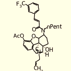 C=CCN1CC[C@]23c4c5ccc(OC(C)=O)c4OC2C(N(CCCCC)C(=O)/C=C/c2cccc(C(F)(F)F)c2)CC[C@@]3(O)[C@H]1C5